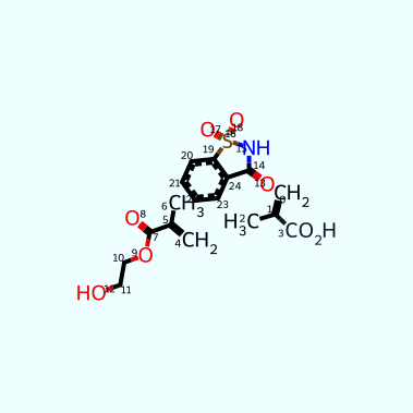 C=C(C)C(=O)O.C=C(C)C(=O)OCCO.O=C1NS(=O)(=O)c2ccccc21